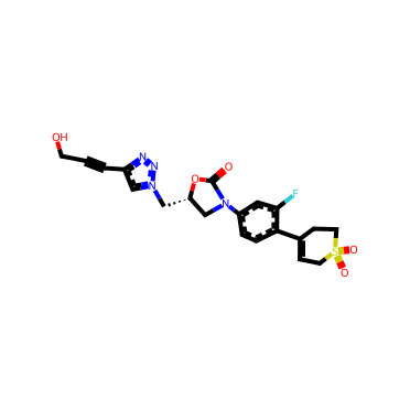 O=C1O[C@@H](Cn2cc(C#CCO)nn2)CN1c1ccc(C2=CCS(=O)(=O)CC2)c(F)c1